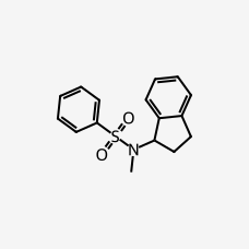 CN(C1CCc2ccccc21)S(=O)(=O)c1ccccc1